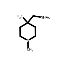 CC(=O)NCC1(C)CCN(C)CC1